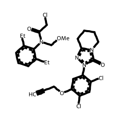 C#CCOc1cc(-n2nc3n(c2=O)CCCC3)c(Cl)cc1Cl.CCc1cccc(CC)c1N(COC)C(=O)CCl